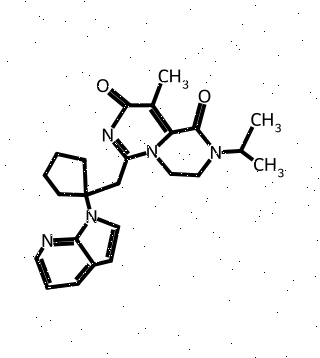 Cc1c2n(c(CC3(n4ccc5cccnc54)CCCC3)nc1=O)CCN(C(C)C)C2=O